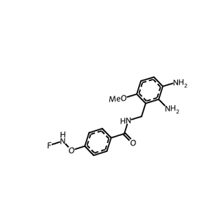 COc1ccc(N)c(N)c1CNC(=O)c1ccc(ONF)cc1